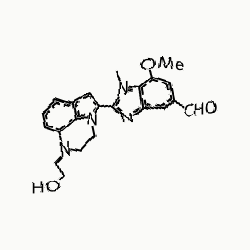 COc1cc(C=O)cc2nc(-c3cc4cccc5c4n3CCN5CCO)n(C)c12